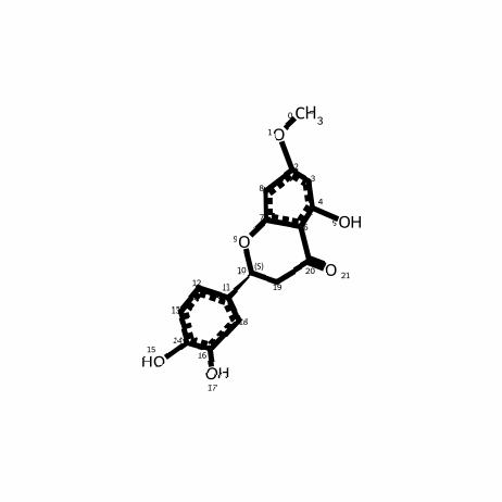 COc1cc(O)c2c(c1)O[C@H](c1ccc(O)c(O)c1)CC2=O